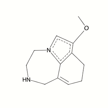 COc1cn2c3c1CCC=C3CNCC2